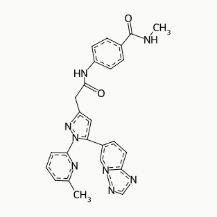 CNC(=O)c1ccc(NC(=O)Cc2cc(-c3ccc4ncnn4c3)n(-c3cccc(C)n3)n2)cc1